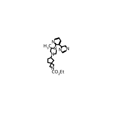 CCOC(=O)N1CC2(CCC(N3CCN(c4ncccc4-c4cnccn4)[C@H](C)C3)C2)C1